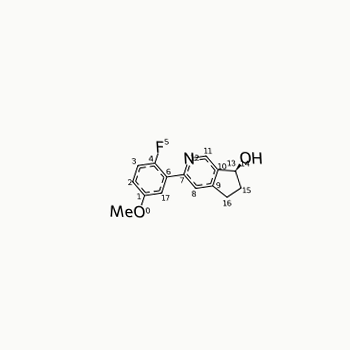 COc1ccc(F)c(-c2cc3c(cn2)[C@@H](O)CC3)c1